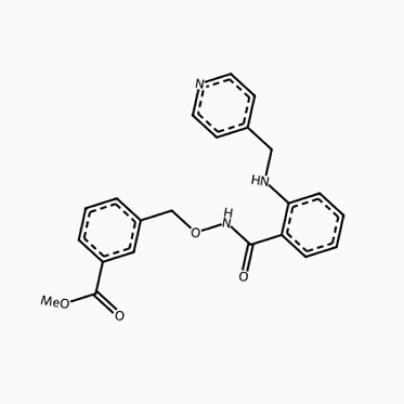 COC(=O)c1cccc(CONC(=O)c2ccccc2NCc2ccncc2)c1